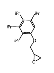 CC(C)c1cc(OCC2CO2)c(C(C)C)c(C(C)C)c1C(C)C